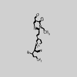 C=C/C=C(Br)\C(C#N)=C\C/C=C(\C=C/C)/C=C/c1ncc(C=O)c(=O)n1C=C